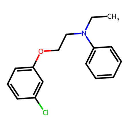 CCN(CCOc1cccc(Cl)c1)c1ccccc1